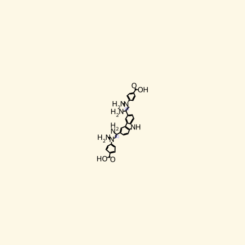 N/C(=C\N(N)c1ccc(C(=O)O)cc1)c1ccc2[nH]c3ccc(/C(N)=C/N(N)c4ccc(C(=O)O)cc4)cc3c2c1